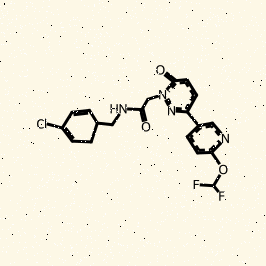 O=C(Cn1nc(-c2ccc(OC(F)F)nc2)ccc1=O)NCC1C=CC(Cl)=CC1